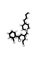 CCCCC1CCN(CC(CCC)CC(=O)c2ccccc2C)CC1